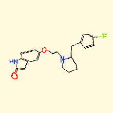 O=C1Cc2cc(OCCN3CCCCC3Cc3ccc(F)cc3)ccc2N1